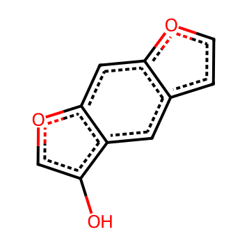 Oc1coc2cc3occc3cc12